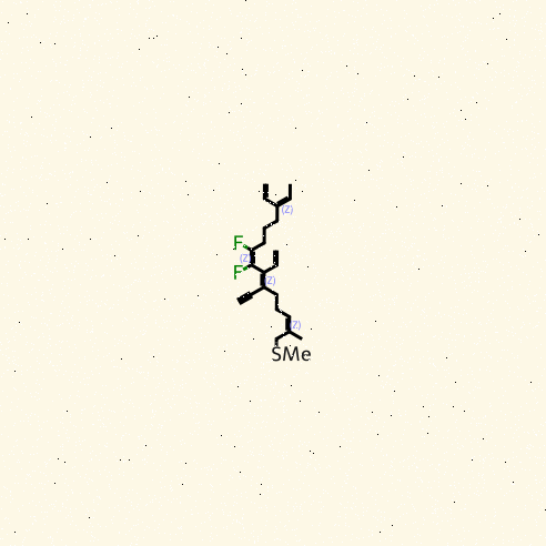 C#C/C(CC/C=C(/C)CSC)=C(C=C)\C(F)=C(\F)CCC/C(C=C)=C/C